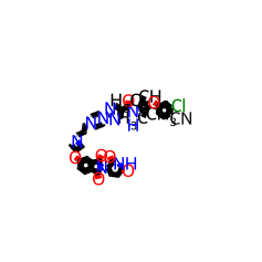 CC1(C)C(NC(=O)c2cnc(N3CCN(CCCN4CC(Oc5ccc6c(c5)C(=O)N(C5CCC(=O)NC5=O)C6=O)C4)CC3)nc2)C(C)(C)C1Oc1ccc(C#N)c(Cl)c1